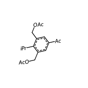 CC(=O)OCc1cc(C(C)=O)cc(COC(C)=O)c1C(C)C